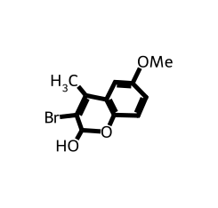 COc1ccc2c(c1)C(C)=C(Br)C(O)O2